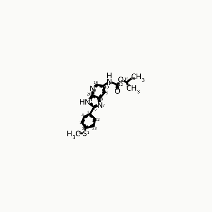 CSc1ccc(-c2nc3cc(NC(=O)OC(C)C)cnc3[nH]2)cc1